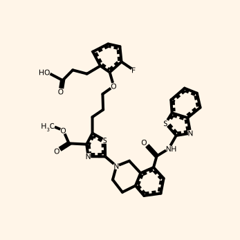 COC(=O)c1nc(N2CCc3cccc(C(=O)Nc4nc5ccccc5s4)c3C2)sc1CCCOc1c(F)cccc1CCC(=O)O